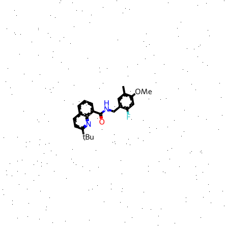 COc1cc(F)c(CNC(=O)c2cccc3ccc(C(C)(C)C)nc23)cc1C